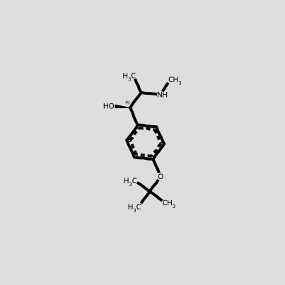 CNC(C)[C@H](O)c1ccc(OC(C)(C)C)cc1